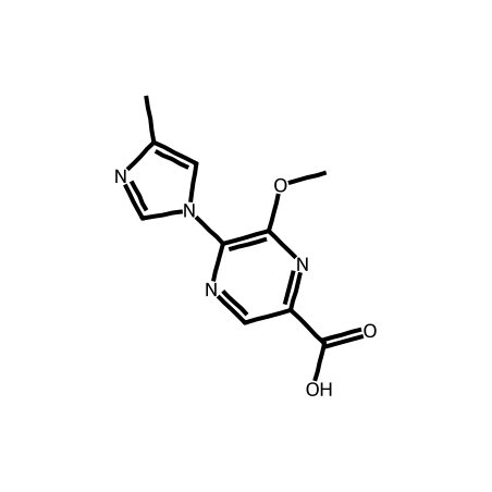 COc1nc(C(=O)O)cnc1-n1cnc(C)c1